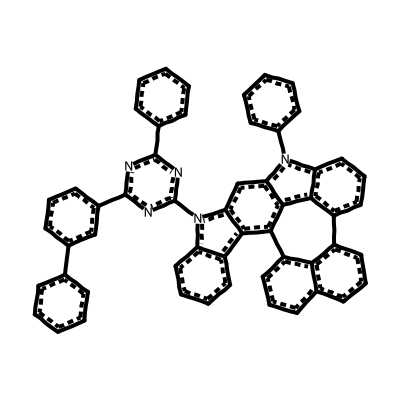 c1ccc(-c2cccc(-c3nc(-c4ccccc4)nc(-n4c5ccccc5c5c6c7c8c(cccc8n(-c8ccccc8)c7cc54)-c4cccc5cccc-6c45)n3)c2)cc1